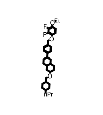 CCCC1CCC(COC2CCC3CC(c4ccc(COc5ccc(OCC)c(F)c5F)cc4)CCC3C2)CC1